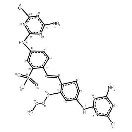 Nc1nc(Cl)nc(Nc2ccc(/C=C/c3ccc(Nc4nc(N)nc(Cl)n4)cc3S(=O)(=O)O)c(SOOO)c2)n1